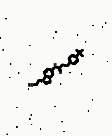 CC(C)(C)c1ccc(CCC(=O)Nc2ccc3c(ccn3CCO)c2)cc1